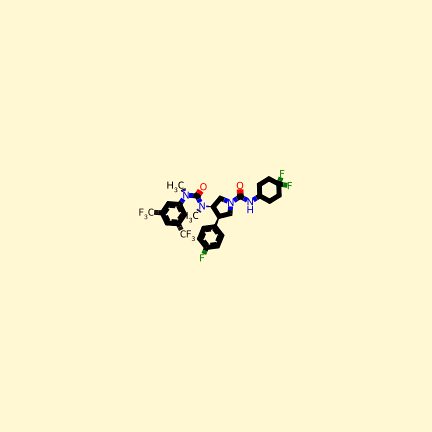 CN(C(=O)N(C)[C@@H]1CN(C(=O)NC2CCC(F)(F)CC2)C[C@H]1c1ccc(F)cc1)c1cc(C(F)(F)F)cc(C(F)(F)F)c1